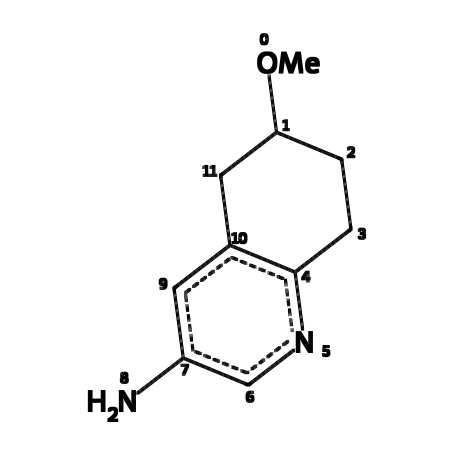 COC1CCc2ncc(N)cc2C1